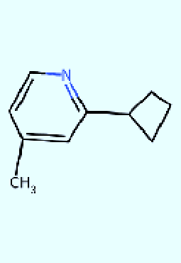 Cc1ccnc(C2CCC2)c1